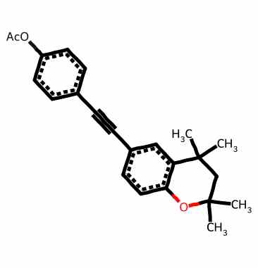 CC(=O)Oc1ccc(C#Cc2ccc3c(c2)C(C)(C)CC(C)(C)O3)cc1